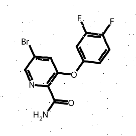 NC(=O)c1ncc(Br)cc1Oc1ccc(F)c(F)c1